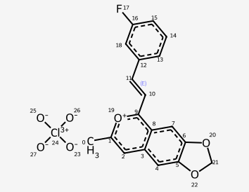 Cc1cc2cc3c(cc2c(/C=C/c2cccc(F)c2)[o+]1)OCO3.[O-][Cl+3]([O-])([O-])[O-]